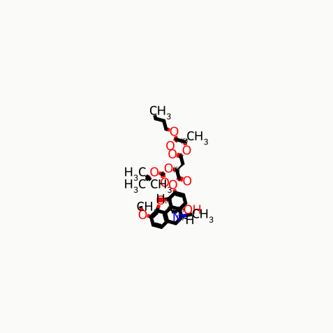 CCCCOC(=O)[C@H](C)OC(=O)C[C@H](OC(=O)OC(C)(C)C)C(=O)OC1=CC[C@@]2(O)[C@H]3Cc4ccc(OC)c5c4[C@@]2(CCN3C)[C@H]1O5